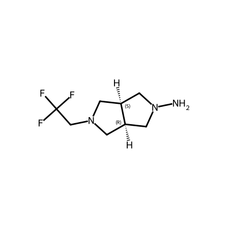 NN1C[C@@H]2CN(CC(F)(F)F)C[C@@H]2C1